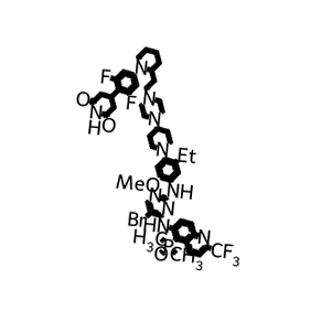 CCc1cc(Nc2ncc(Br)c(Nc3ccc4nc(C(F)(F)F)ccc4c3P(C)(C)=O)n2)c(OC)cc1N1CCC(N2CCN(CCC3CCCCN3c3cc(F)c(C4CC(=O)NC(=O)C4)c(F)c3)CC2)CC1